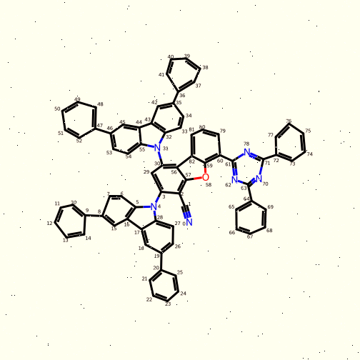 N#Cc1c(-n2c3ccc(-c4ccccc4)cc3c3cc(-c4ccccc4)ccc32)cc(-n2c3ccc(-c4ccccc4)cc3c3cc(-c4ccccc4)ccc32)c2c1oc1c(-c3nc(-c4ccccc4)nc(-c4ccccc4)n3)cccc12